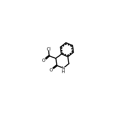 O=C(Cl)C1C(=O)NCc2ccccc21